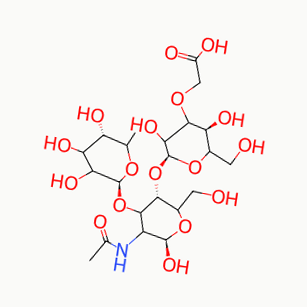 CC(=O)NC1C(O[C@@H]2OC(C)[C@@H](O)C(O)C2O)[C@H](O[C@@H]2OC(CO)[C@H](O)C(OCC(=O)O)C2O)C(CO)O[C@H]1O